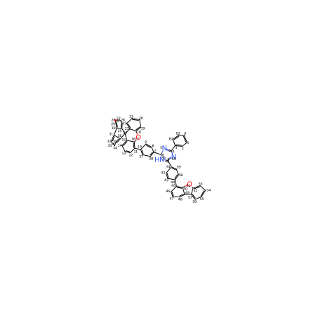 c1ccc(C2=NC(c3ccc(-c4cccc5c4Oc4ccccc4C54c5ccccc5-c5ccccc54)cc3)NC(c3ccc(-c4cccc5c4oc4ccccc45)cc3)=N2)cc1